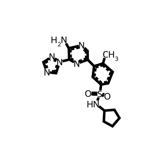 Cc1ccc(S(=O)(=O)NC2CCCC2)cc1-c1cnc(N)c(-n2cncn2)n1